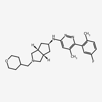 Cc1ccc(F)cc1-c1nnc(N[C@H]2C[C@@H]3CN(CC4CCOCC4)C[C@@H]3C2)cc1C